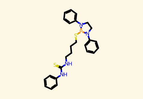 S=C(NCCCCSP1N(c2ccccc2)CCN1c1ccccc1)Nc1ccccc1